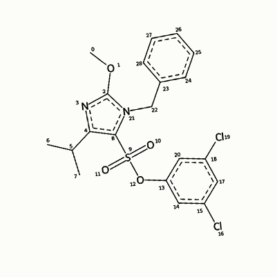 COc1nc(C(C)C)c(S(=O)(=O)Oc2cc(Cl)cc(Cl)c2)n1Cc1ccccc1